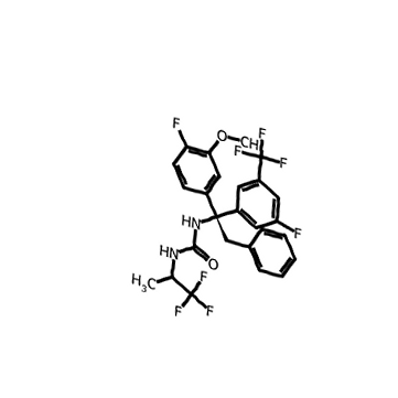 COc1cc([C@@](Cc2ccccc2)(NC(=O)NC(C)C(F)(F)F)c2cc(F)cc(C(F)(F)F)c2)ccc1F